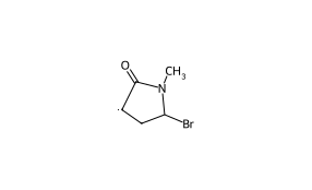 CN1C(=O)[CH]CC1Br